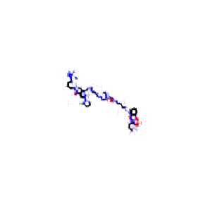 CCn1cnnc1-c1cccc(N2Cc3c(cc(N4CCC[C@H]4C)nc3CN(C)CCCN3CCN(CC(=O)NCCCCNc4cccc5c4C(=O)N(C4CCC(=O)NC4=O)C5=O)CC3)C2=O)n1